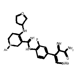 CN/C=C(\C(=N)C(N)=O)c1ccc(NC(=N)C2=C(NC3CCOC3)CCN(C(C)=O)C2)c(F)c1